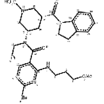 COCCCNc1nc(C(C)(C)C)ncc1C(=O)N(CC(C)C)[C@H]1C[C@@H](C(=O)N2CCc3ccccc32)CN(C(=O)O)C1